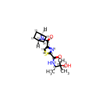 C[C@H](NC(=O)c1nc(C(=O)N2[C@H]3CC[C@H]2CC3)cs1)C(C)(C)O